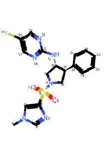 Cn1cnc(S(=O)(=O)N2C[C@H](Nc3ncc(F)cn3)[C@@H](c3ccccc3)C2)c1